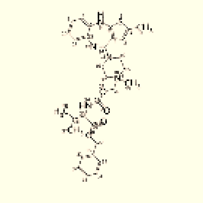 Cc1cc2c(s1)Nc1ccccc1N=C2N1CC[N+](C)(COC(=O)NC(C(=O)OCc2ccccc2)C(C)C)CC1